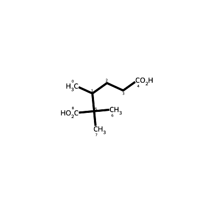 CC(CCC(=O)O)C(C)(C)C(=O)O